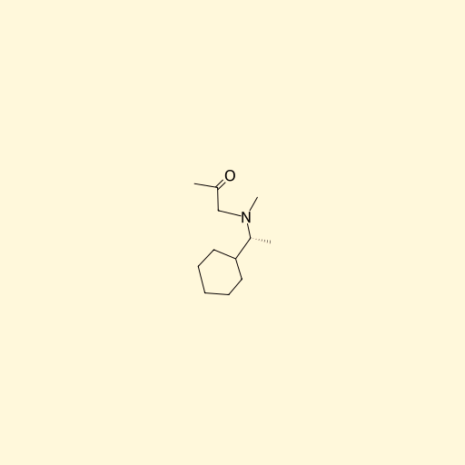 CC(=O)CN(C)[C@H](C)C1CCCCC1